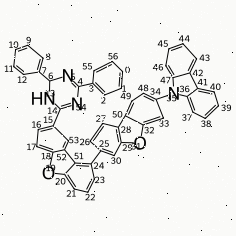 c1ccc(C2=NC(c3ccccc3)NC(c3ccc4oc5cccc(-c6ccc7c(c6)oc6cc(-n8c9ccccc9c9ccccc98)ccc67)c5c4c3)=N2)cc1